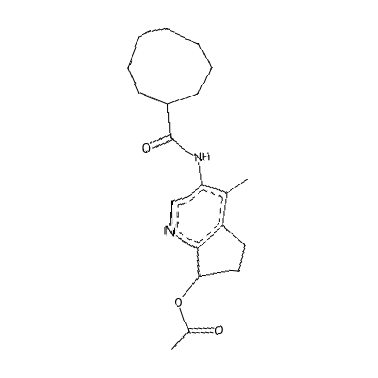 CC(=O)OC1CCc2c1ncc(NC(=O)C1CCCCCCC1)c2C